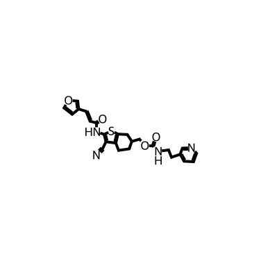 N#Cc1c(NC(=O)C=Cc2ccoc2)sc2c1CCC(COC(=O)NCCc1cccnc1)C2